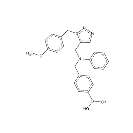 COc1ccc(Cn2nncc2CN(Cc2ccc(B(O)O)cc2)c2ccccc2)cc1